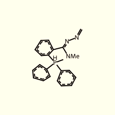 C=N/N=C(\NC)c1ccccc1[PH](C)(c1ccccc1)c1ccccc1